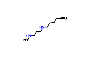 C#CCCCCNCCCNCCC